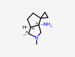 C[C@@H]1[C@H]2CCC3(CC3)[C@@]2(N)CN1C